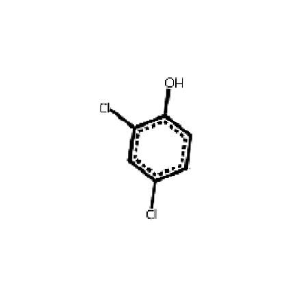 Oc1c[c]c(Cl)cc1Cl